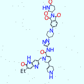 CCc1cc2ncc(CN3CC(C4=CCNCC4)=CC=C3C(=O)Nc3cnn(C4CCN(c5ccc6c(c5)C(=O)N(C5CCC(=O)NC5=O)C6=O)CC4)c3)cc2[nH]c1=O